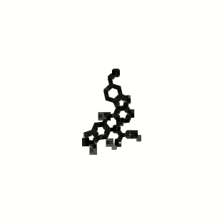 CC(C)Oc1cc2[nH]ncc2cc1Nc1ncnc2sc3c(c12)CCC(C=O)C3